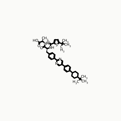 C[C@@H](NC(=O)[C@H](Cc1ccc(-c2ncc(-c3ccc(C4CCC(C(C)(C)C)CC4)cc3)cn2)cc1)NC(=O)c1ccc(C(C)(C)C)s1)C(=O)O